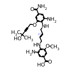 COc1cc(C(=O)O)cc(N)c1NC/C=C/CNc1c(N)cc(C(N)=O)cc1OCC#CC(C)(C)O